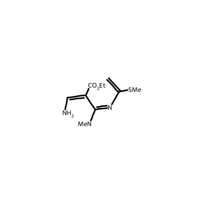 C=C(/N=C(NC)\C(=C/N)C(=O)OCC)SC